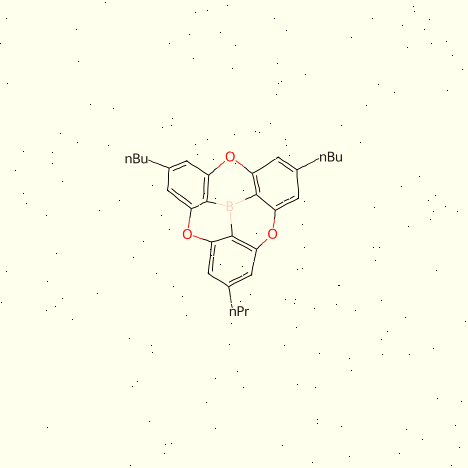 CCCCc1cc2c3c(c1)Oc1cc(CCCC)cc4c1B3c1c(cc(CCC)cc1O4)O2